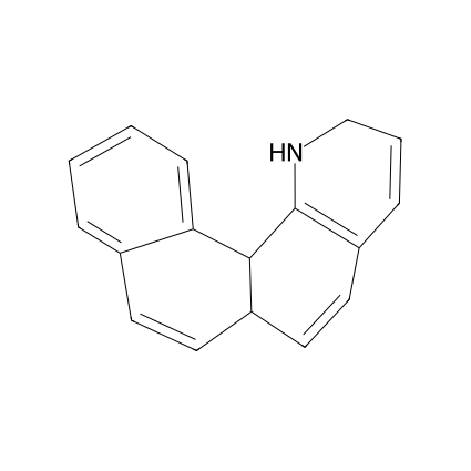 C1=CC2=C(NC1)C1c3ccccc3C=CC1C=C2